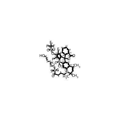 CC1=CC(C)(C)N(CCCC(=O)S(=S)(=S)SSSSSO)c2cc3c(cc21)C1(OC(=O)c2ccccc21)c1cc(F)c(OS(=O)(=O)C(F)(F)F)c(F)c1[Si]3(C)C